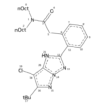 CCCCCCCCN(CCCCCCCC)C(=O)Cc1ccccc1-c1nn2nc(C(C)(C)C)c(Cl)c2[nH]1